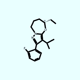 CC[C@H]1CCCn2nc(-c3ccccc3F)c(C(C)C)c2O1